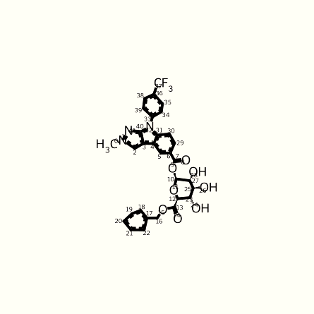 Cn1cc2c3cc(C(=O)O[C@@H]4O[C@H](C(=O)OCc5ccccc5)[C@@H](O)[C@H](O)[C@H]4O)ccc3n(-c3ccc(C(F)(F)F)cc3)c2n1